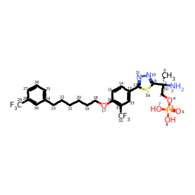 C[C@](N)(COP(=O)(O)O)c1nnc(-c2ccc(OCCCCCCc3cccc(C(F)(F)F)c3)c(C(F)(F)F)c2)s1